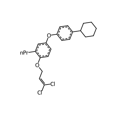 CCCc1cc(Oc2ccc(C3CCCCC3)cc2)ccc1OCC=C(Cl)Cl